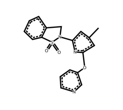 Cc1cc(Oc2cccnc2)nc(N2Cc3ccccc3S2(=O)=O)c1